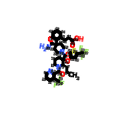 CCC[C@H]1N(C(=O)c2ncccc2C(F)(F)F)CCC[C@@]1(Oc1csc(C(F)(F)F)c1)C(=O)N1CCC(C(N)=O)(c2ccccc2CCC(=O)O)CC1